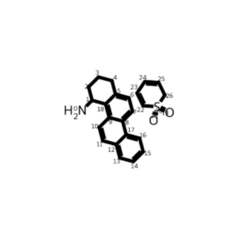 NC1CCCc2ccc3c(ccc4ccccc43)c21.O=S1(=O)C=CC=CC1